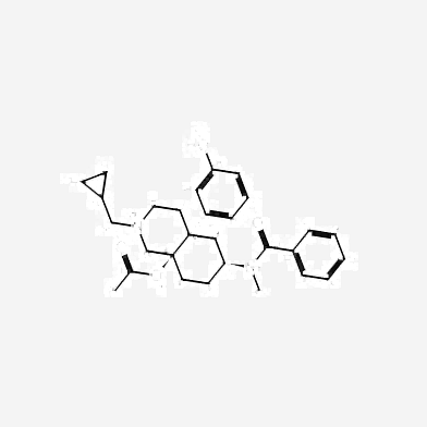 CC(=O)O[C@]12CC[C@H](N(C)C(=O)c3ccccc3)C[C@]1(c1cccc(O)c1)CCN(CC1CC1)C2